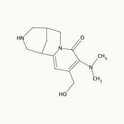 CN(C)c1c(CO)cc2n(c1=O)CC1CNCC2C1